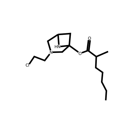 CCCCCC(C)C(=O)OC12CC(CN(CCCl)C1)N2